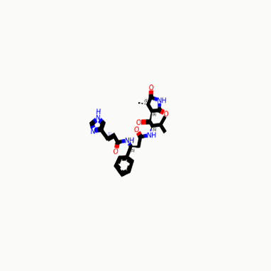 CC(C)[C@H](NC(=O)C[C@H](NC(=O)/C=C/c1c[nH]cn1)c1ccccc1)C(=O)[C@@H]1C(=O)NC(=O)[C@H]1C